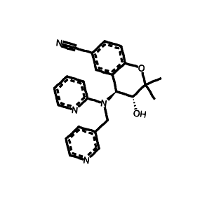 CC1(C)Oc2ccc(C#N)cc2[C@H](N(Cc2cccnc2)c2ccccn2)[C@H]1O